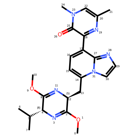 COC1=N[C@H](C(C)C)C(OC)=N[C@H]1Cc1ccc(-c2nc(C)cn(C)c2=O)c2nccn12